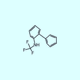 FC(F)(F)Nc1ccccc1-c1ccccc1